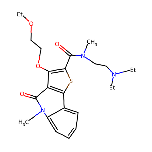 CCOCCOc1c(C(=O)N(C)CCN(CC)CC)sc2c1c(=O)n(C)c1ccccc21